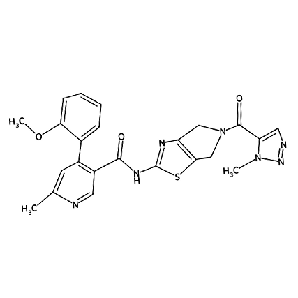 COc1ccccc1-c1cc(C)ncc1C(=O)Nc1nc2c(s1)CN(C(=O)c1cnnn1C)C2